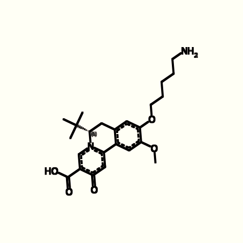 COc1cc2c(cc1OCCCCCN)C[C@@H](C(C)(C)C)n1cc(C(=O)O)c(=O)cc1-2